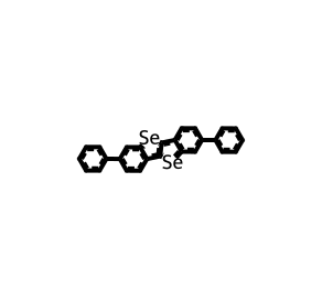 c1ccc(-c2ccc3c(c2)[se]c2c4ccc(-c5ccccc5)cc4[se]c32)cc1